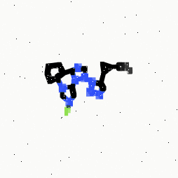 CC1CC1c1cnnn1N1C=NC2c3ccccc3N3CN(F)C=C3N21